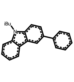 CCC(C)n1c2ccccc2c2cc(-c3ccccc3)ccc21